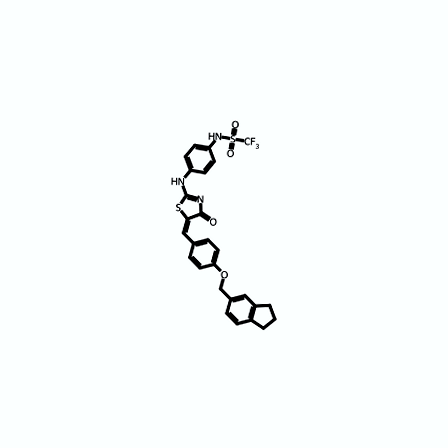 O=C1N=C(Nc2ccc(NS(=O)(=O)C(F)(F)F)cc2)SC1=Cc1ccc(OCc2ccc3c(c2)CCC3)cc1